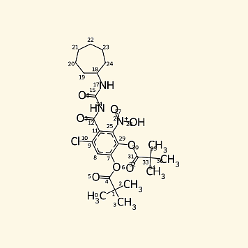 CC(C)(C)C(=O)Oc1cc(Cl)c(C(=O)NC(=O)NC2CCCCCC2)c([N+](=O)O)c1OC(=O)C(C)(C)C